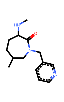 CNC1CCC(C)CN(Cc2cccnc2)C1=O